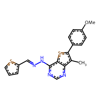 COc1ccc(-c2sc3c(NN=Cc4cccs4)ncnc3c2C)cc1